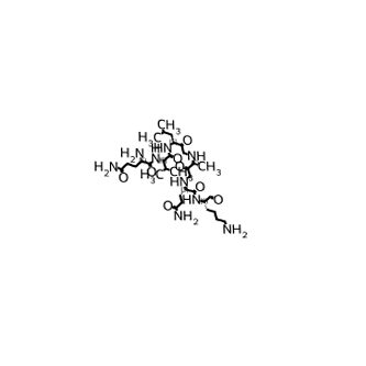 CC(C)C[C@H](NC(=O)[C@@H](NC(=O)[C@@H](N)CCC(N)=O)C(C)C)C(=O)CN[C@@H](C)C(=O)CN[C@@H](CCC(N)=O)C(=O)N[C@H](C=O)CCCCN